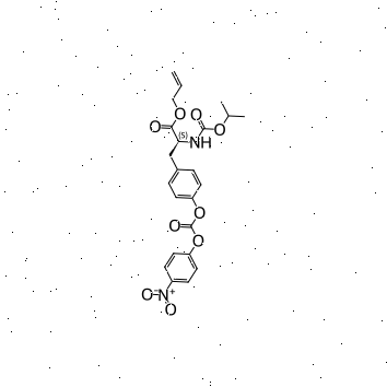 C=CCOC(=O)[C@H](Cc1ccc(OC(=O)Oc2ccc([N+](=O)[O-])cc2)cc1)NC(=O)OC(C)C